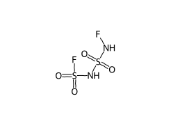 O=S(=O)(F)NS(=O)(=O)NF